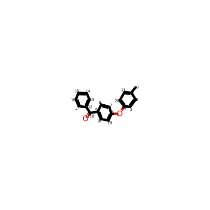 Cc1ccc(Oc2ccc(C(=O)c3ccccc3)cc2)cc1